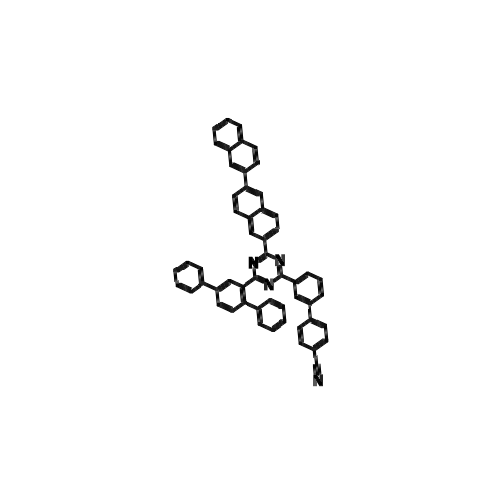 N#Cc1ccc(-c2cccc(-c3nc(-c4ccc5cc(-c6ccc7ccccc7c6)ccc5c4)nc(-c4cc(-c5ccccc5)ccc4-c4ccccc4)n3)c2)cc1